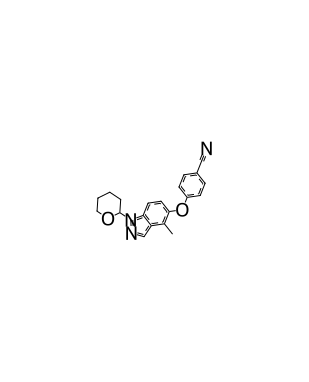 Cc1c(Oc2ccc(C#N)cc2)ccc2c1cnn2C1CCCCO1